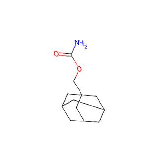 NC(=O)OCC12CC3CC(CC(C3)C1)C2